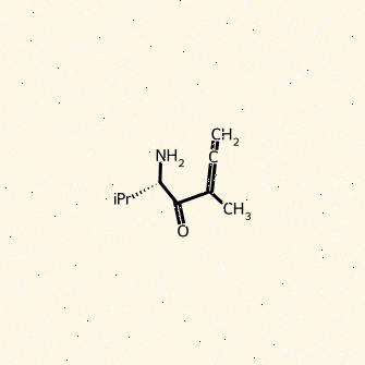 C=C=C(C)C(=O)[C@@H](N)C(C)C